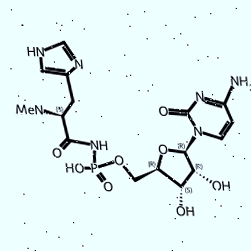 CN[C@@H](Cc1c[nH]cn1)C(=O)NP(=O)(O)OC[C@H]1O[C@@H](n2ccc(N)nc2=O)[C@H](O)[C@@H]1O